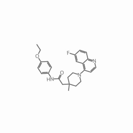 CCOc1ccc(NC(=O)CC2(C)CCN(c3ccnc4ccc(F)cc34)CC2)cc1